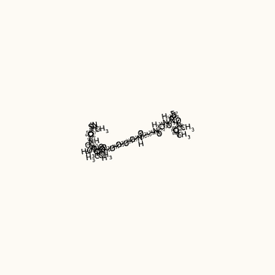 CCN(C(=O)Cn1c(C(=O)N[C@H]2CC[C@H](C(=O)NCCCCCC(=O)NCCOCCOCCOCCOCCC(=O)N[C@@H](C(=O)N3C[C@@H](O)[C@H](C(=O)NCc4ccc(-c5scnc5C)cc4)C3)C(C)(C)C)CC2)cc2sccc21)c1cccc(C)c1